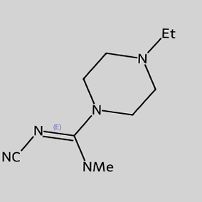 CCN1CCN(/C(=N/C#N)NC)CC1